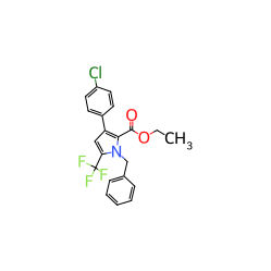 CCOC(=O)c1c(-c2ccc(Cl)cc2)cc(C(F)(F)F)n1Cc1ccccc1